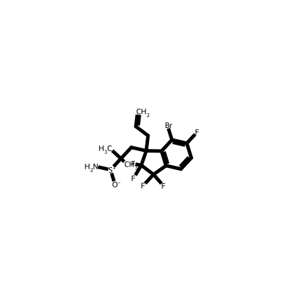 C=CCC1(CC(C)(C)[S+](N)[O-])c2c(ccc(F)c2Br)C(F)(F)C1(F)F